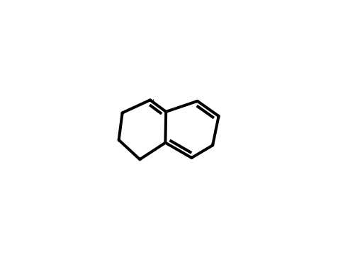 [C]1=C2C=CCC=C2CCC1